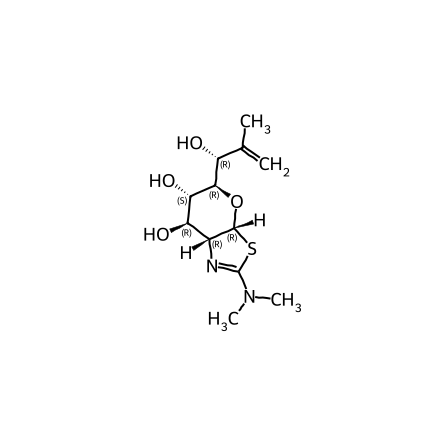 C=C(C)[C@@H](O)[C@H]1O[C@@H]2SC(N(C)C)=N[C@@H]2[C@@H](O)[C@@H]1O